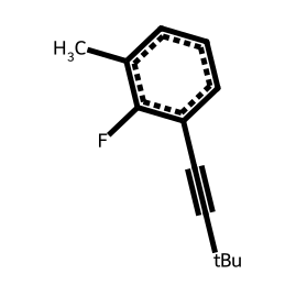 Cc1cccc(C#CC(C)(C)C)c1F